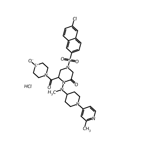 Cc1cc(N2CCC(N(C)N3C(=O)CN(S(=O)(=O)c4ccc5cc(Cl)ccc5c4)CC3C(=O)N3CC[S+]([O-])CC3)CC2)ccn1.Cl